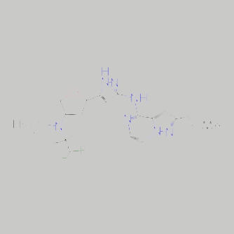 COCc1cc2c(Nc3cc(C4CC(N(C(=O)O)C(C)(C)C(F)F)CO4)[nH]n3)nccn2n1